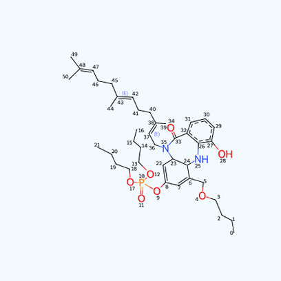 CCCCOCC1=CC(OP(=O)(OCCCC)OCCCC)=CC2C1Nc1c(O)cccc1C(=O)N2C/C=C(\C)CC/C=C(\C)CCC=C(C)C